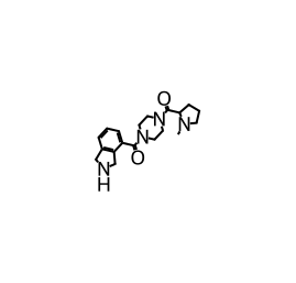 CN1CCCC1C(=O)N1CCN(C(=O)c2cccc3c2CNC3)CC1